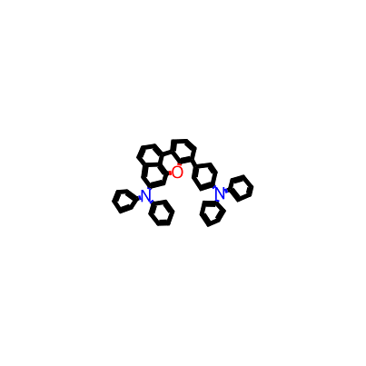 c1ccc(N(c2ccccc2)c2ccc(-c3cccc4c3Oc3cc(N(c5ccccc5)c5ccccc5)cc5cccc-4c35)cc2)cc1